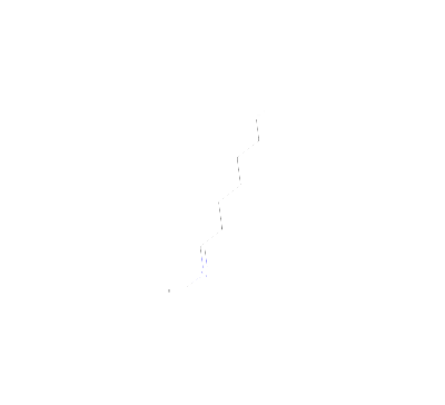 CCCCCCCCCCC=NC=O